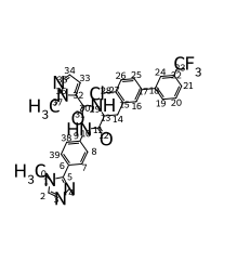 Cn1cnnc1-c1ccc(NC(=O)C(Cc2cc(-c3cccc(C(F)(F)F)c3)ccc2Cl)NC(=O)c2ccnn2C)cc1